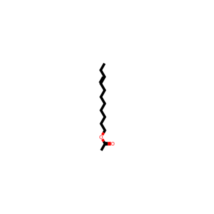 CC/C=C/CCCCCCCOC(C)=O